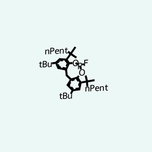 CCCCCC(C)(C)c1cc(C(C)(C)C)cc2c1OP(F)Oc1c(cc(C(C)(C)C)cc1C(C)(C)CCCCC)C2